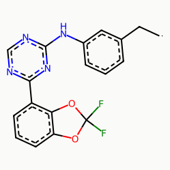 [CH2]Cc1cccc(Nc2ncnc(-c3cccc4c3OC(F)(F)O4)n2)c1